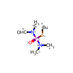 CCC(C)SP(=O)(N(C)C)N(C)C=O